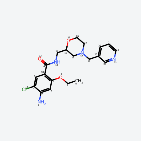 CCOc1cc(N)c(Cl)cc1C(=O)NCC1CN(Cc2cccnc2)CCO1